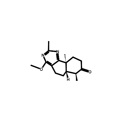 COc1nc(C)nc2c1CC[C@H]1[C@H](C)C(=O)CC[C@]21C